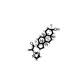 CC(C(=O)[C@H]1CC[C@H]2[C@@H]3CC[C@H]4C[C@](C)(O)CC[C@]4(C)[C@H]3CC[C@]12C)n1nccn1